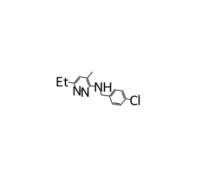 CCc1cc(C)c(NCc2ccc(Cl)cc2)nn1